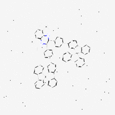 CC(C)(C)c1ccc(C(C)(C)C)c2nc(-c3ccc(-c4ccc5c(c4)C4(c6ccccc6-c6ccccc64)c4ccccc4-5)cc3)c(-c3ccc(-c4ccc5c(c4)C4(c6ccccc6-c6ccccc64)c4ccccc4-5)cc3)nc12